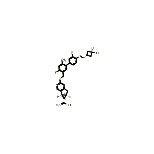 C=C(O)[C@H]1[C@@H]2Cc3cc(OCc4cc(-c5ccc(OC[C@H]6C[C@@](C)(O)C6)c(F)c5)c(C)cc4F)ncc3[C@@H]21